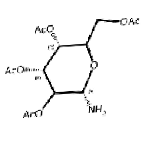 CC(=O)OCC1O[C@H](N)C(OC(C)=O)[C@H](OC(C)=O)[C@@H]1OC(C)=O